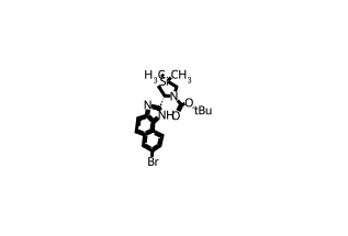 CC(C)(C)OC(=O)N1C[Si](C)(C)C[C@H]1c1nc2ccc3cc(Br)ccc3c2[nH]1